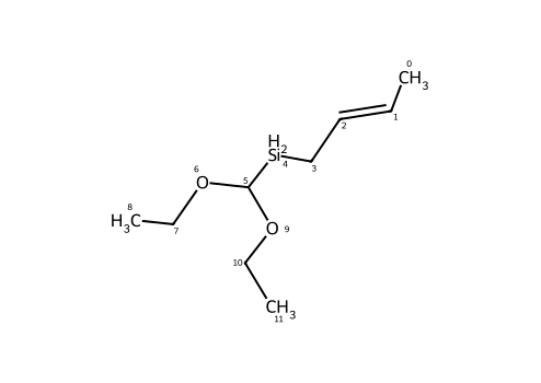 CC=CC[SiH2]C(OCC)OCC